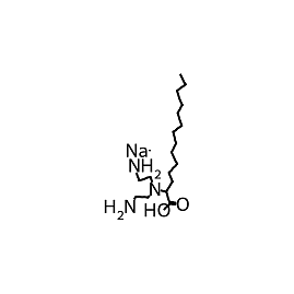 CCCCCCCCCCCCC(C(=O)O)N(CCN)CCN.[Na]